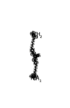 C=C(C(=O)OCCCCCCCCC1CCC(C(=O)Oc2ccc(OC(=O)C3CCC(CCCCCCCOC(=O)C(=C)C(F)(F)F)CC3)c3c2C2CCC3C2)CC1)C(F)(F)F